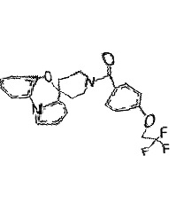 O=C(c1ccc(OCC(F)(F)F)cc1)N1CCC2(CC1)Oc1ccccc1-n1cccc12